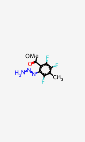 COC(=O)c1c(F)c(F)c(C)c(F)c1N=NN